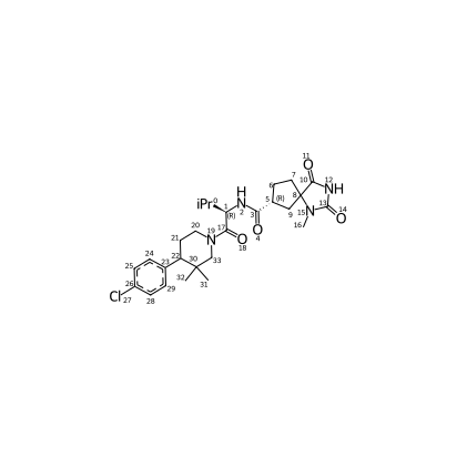 CC(C)[C@@H](NC(=O)[C@@H]1CCC2(C1)C(=O)NC(=O)N2C)C(=O)N1CCC(c2ccc(Cl)cc2)C(C)(C)C1